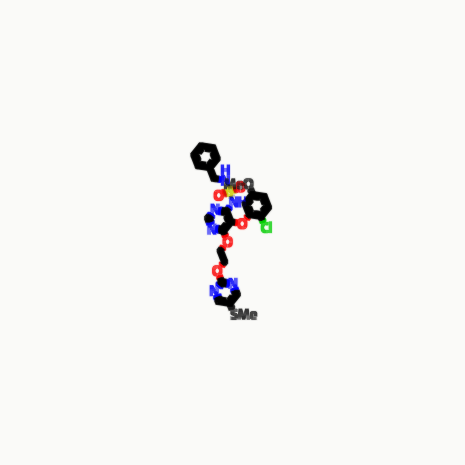 COc1ccc(Cl)c(Oc2c(NS(=O)(=O)NCc3ccccc3)ncnc2OCCOc2ncc(SC)cn2)c1